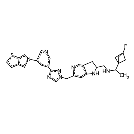 CC(NCC1Cc2cnc(Cn3cnc(-c4cncc(-n5cc6ccsc6c5)c4)n3)cc2N1)C12CC(F)(C1)C2